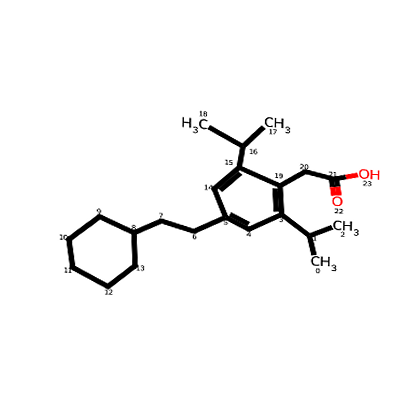 CC(C)c1cc(CCC2CCCCC2)cc(C(C)C)c1CC(=O)O